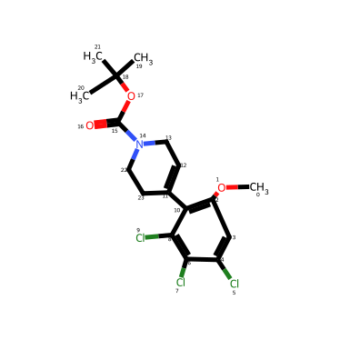 COc1cc(Cl)c(Cl)c(Cl)c1C1=CCN(C(=O)OC(C)(C)C)CC1